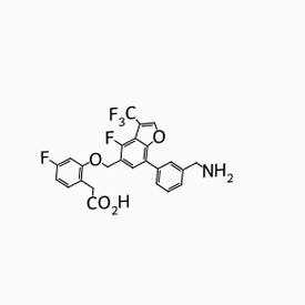 NCc1cccc(-c2cc(COc3cc(F)ccc3CC(=O)O)c(F)c3c(C(F)(F)F)coc23)c1